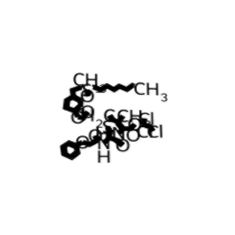 C=C1S[C@@H]2C(NC(=O)COc3ccccc3)C(=O)N2C(C(=O)OC(Cl)(Cl)CCl)=C1C.CCCCCCCC[S+]([O-])C(C)Cc1ccc2c(c1)OCO2